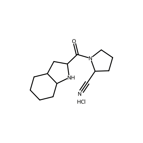 Cl.N#CC1CCCN1C(=O)C1CC2CCCCC2N1